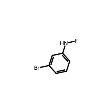 FNc1cccc(Br)c1